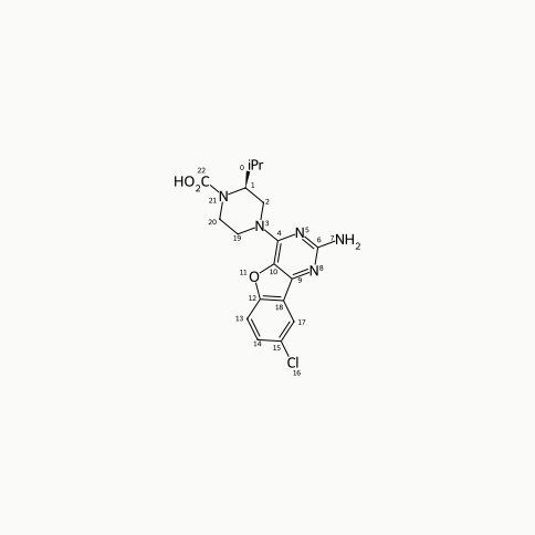 CC(C)[C@H]1CN(c2nc(N)nc3c2oc2ccc(Cl)cc23)CCN1C(=O)O